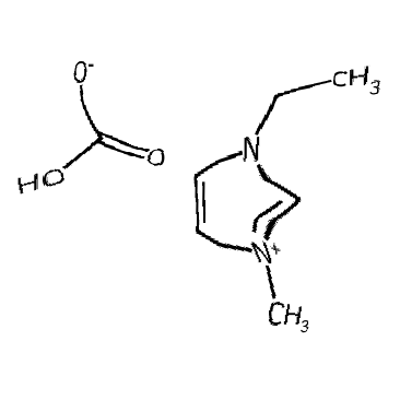 CCn1cc[n+](C)c1.O=C([O-])O